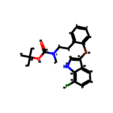 CN(CCc1ccccc1Sc1c[nH]c2c(F)cccc12)C(=O)OC(C)(C)C